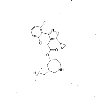 CCC1CNCC[C@@H](OC(=O)Cc2c(-c3c(Cl)cccc3Cl)noc2C2CC2)C1